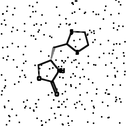 O=C1N[C@@H](CC2SCCS2)CO1